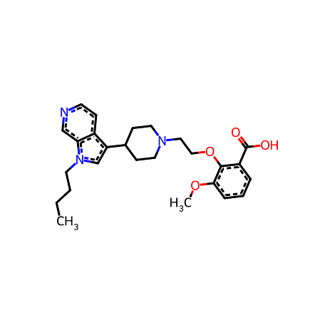 CCCCn1cc(C2CCN(CCOc3c(OC)cccc3C(=O)O)CC2)c2ccncc21